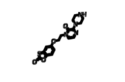 O=c1oc2ccc(OCCn3ccnc(N4CCNCC4)c3=O)cc2s1